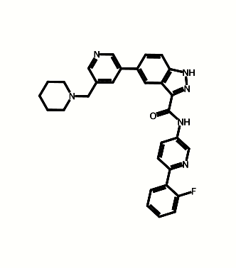 O=C(Nc1ccc(-c2ccccc2F)nc1)c1n[nH]c2ccc(-c3cncc(CN4CCCCC4)c3)cc12